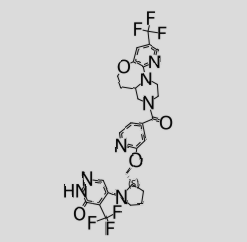 O=C(c1ccnc(OC[C@@H]2CCCN2c2cn[nH]c(=O)c2C(F)(F)F)c1)N1CCN2c3ncc(C(F)(F)F)cc3OCCC2C1